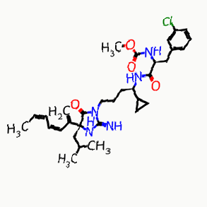 C=C(/C=C\C=C/C)[C@@]1(CC(C)C)NC(=N)N(CCC[C@@H](NC(=O)[C@H](Cc2cccc(Cl)c2)NC(=O)OC)C2CC2)C1=O